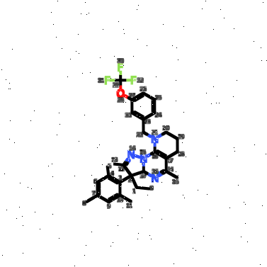 CCC1(c2c(C)cc(C)cc2C)C(C)=NN2C3=C(CCCN3Cc3cccc(OC(F)(F)F)c3)C(C)=NC21